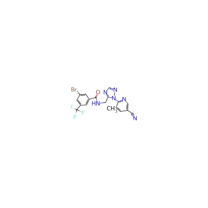 C[C@H](NC(=O)c1cc(Br)cc(C(F)(F)F)c1)c1ncnn1-c1ccc(C#N)cn1